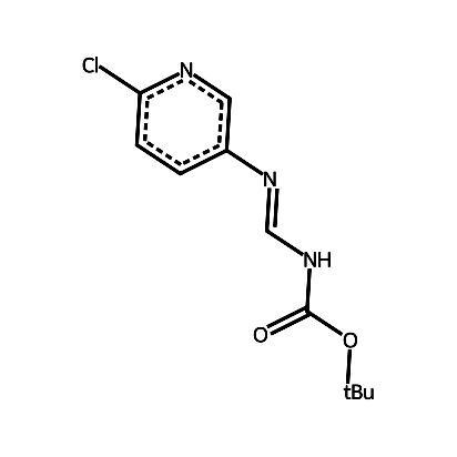 CC(C)(C)OC(=O)N/C=N/c1ccc(Cl)nc1